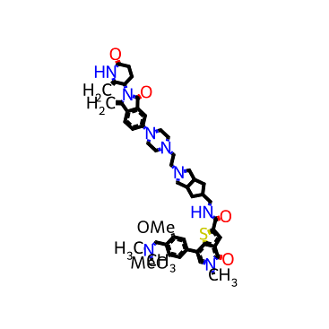 C=C1NC(=O)CCC1N1C(=C)c2ccc(N3CCN(CCN4CC5CC(CNC(=O)c6cc7c(=O)n(C)cc(-c8cc(OC)c(CN(C)C)c(OC)c8)c7s6)CC5C4)CC3)cc2C1=O